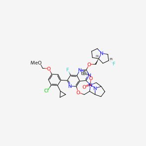 COCOc1cc(Cl)c(C2CC2)c(-c2nc3c4c(nc(OC[C@@]56CCCN5C[C@H](F)C6)nc4c2F)N2CC4CCC(C2CO3)N4C(=O)OC(C)(C)C)c1